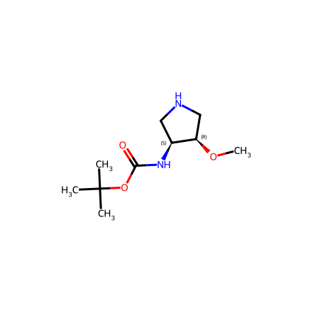 CO[C@@H]1CNC[C@@H]1NC(=O)OC(C)(C)C